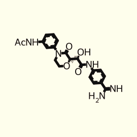 CC(=O)Nc1cccc(N2CCO[C@H]([C@@H](O)C(=O)Nc3ccc(C(=N)N)cc3)C2=O)c1